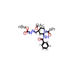 CCCCOC(=O)N=NCC1(OOC(C)=O)CCN(C(=O)CCC)C(NC(=O)c2ccccc2)C1